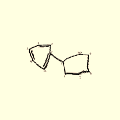 [c]1cc[c]c(C2CCCCC2)c1